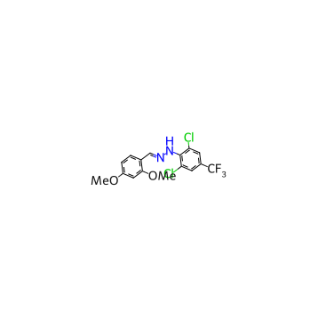 COc1ccc(C=NNc2c(Cl)cc(C(F)(F)F)cc2Cl)c(OC)c1